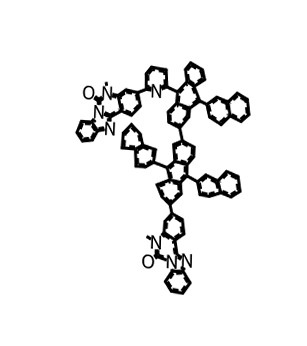 Cn1c(=O)n2c3ccccc3nc2c2ccc(-c3ccc4c(-c5ccc6ccccc6c5)c5cc(-c6ccc7c(-c8cccc(-c9ccc%10c(c9)n(C)c(=O)n9c%11ccccc%11nc%109)n8)c8ccccc8c(-c8ccc9ccccc9c8)c7c6)ccc5c(-c5ccc6ccccc6c5)c4c3)cc21